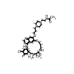 CC(=O)NCCN1CCN(CCCOc2cc3ncnc4c3cc2OCCCNC(=O)[C@@H](C)N(C)Cc2cc(F)c(Cl)cc2N4)CC1